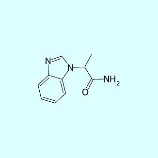 CC(C(N)=O)n1cnc2ccccc21